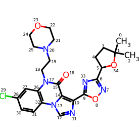 CC1(C)CCC(c2noc(-c3ncn4c3c(=O)n(CCN3CCOCC3)c3cc(Cl)ccc34)n2)O1